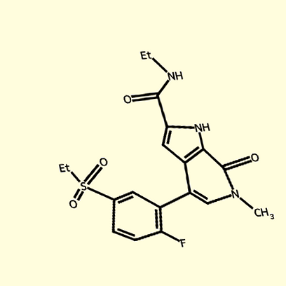 CCNC(=O)c1cc2c(-c3cc(S(=O)(=O)CC)ccc3F)cn(C)c(=O)c2[nH]1